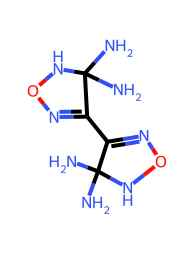 NC1(N)NON=C1C1=NONC1(N)N